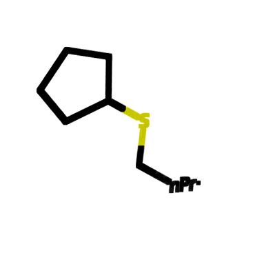 CC[CH]CSC1CCCC1